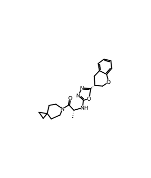 C[C@@H](Nc1nnc([C@H]2COc3ccccc3C2)o1)C(=O)N1CCC2(CC1)CC2